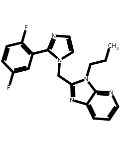 CCCn1c(Cn2ccnc2-c2cc(F)ccc2F)nc2cccnc21